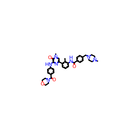 Cc1c(NC(=O)c2ccc(CN3CCN(C)CC3)cc2)cccc1-c1cn(C)c(=O)c(Nc2ccc(C(=O)N3CCOCC3)cc2)n1